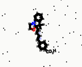 CC1(C)c2ccccc2N2CCOC21/C=C/C=C/c1ccc(C(=O)O)cc1